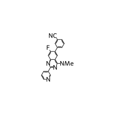 CNc1nc(-c2cccnc2)nc2cc(F)c(-c3cccc(C#N)c3)cc12